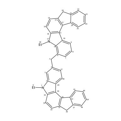 CCn1c2cc(Cc3cccc4c5c6c(ccc5n(CC)c34)Cc3ccccc3-6)ccc2c2c3c(ccc21)Cc1ccccc1-3